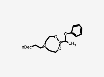 CCCCCCCCCCCCN1CCOB(C(C)Oc2ccccc2)OCC1